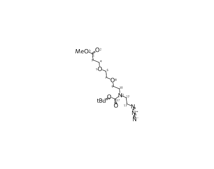 COC(=O)CCOCCOCCN(CCN=[N+]=[N-])C(=O)OC(C)(C)C